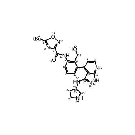 CC(C)(C)c1nc(C(=O)Nc2cccc(-c3ccnc4[nH]nc(N[C@@H]5CCNC5)c34)c2CO)no1